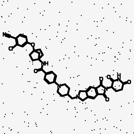 N#Cc1ccc(OC23CCC(NC(=O)c4ccc(N5CCC(CN6Cc7cc8c(cc7C6)C(=O)N(C6CCC(=O)NC6=O)C8=O)CC5)cc4)(CC2)C3)cc1Cl